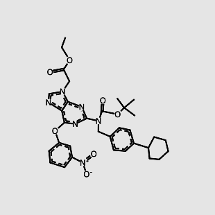 CCOC(=O)Cn1cnc2c(Oc3cccc([N+](=O)[O-])c3)nc(N(Cc3ccc(C4CCCCC4)cc3)C(=O)OC(C)(C)C)nc21